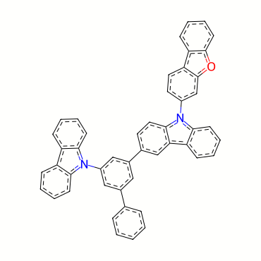 c1ccc(-c2cc(-c3ccc4c(c3)c3ccccc3n4-c3ccc4c(c3)oc3ccccc34)cc(-n3c4ccccc4c4ccccc43)c2)cc1